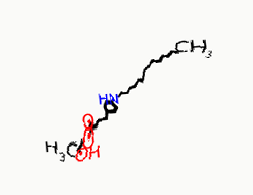 CCCCCCCCCCCCCCCCNc1ccc(CCCC(=O)OCC(C)O)cc1